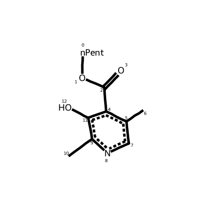 CCCCCOC(=O)c1c(C)cnc(C)c1O